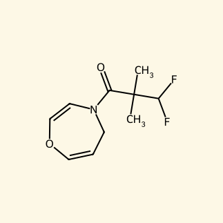 CC(C)(C(=O)N1C=COC=CC1)C(F)F